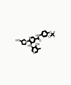 Cc1cncc(Nc2cc(C(=O)Nc3ccc(OC(F)(F)Cl)cc3)cnc2N2CCC(O)C2)c1C#N